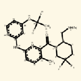 CC(=O)NCC1CCC(F)(F)CN1C(=O)c1nc(Nc2cc(OC(C)(F)F)ccn2)ccc1C